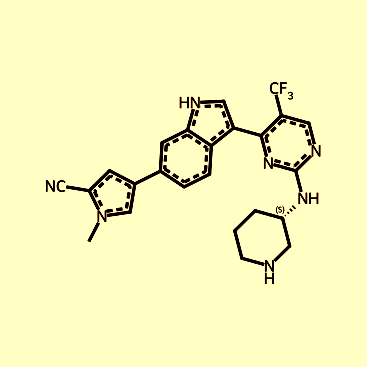 Cn1cc(-c2ccc3c(-c4nc(N[C@H]5CCCNC5)ncc4C(F)(F)F)c[nH]c3c2)cc1C#N